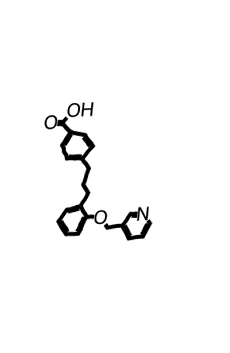 O=C(O)c1ccc(CCCc2ccccc2OCc2cccnc2)cc1